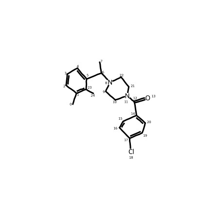 Cc1cccc(C(C)N2CCN(C(=O)c3ccc(Cl)cc3)CC2)c1C